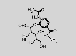 I.NC(N)=O.NNC(=O)c1ccncc1.O=C[C@H](O)[C@@H](O)[C@H](O)[C@H](O)CO